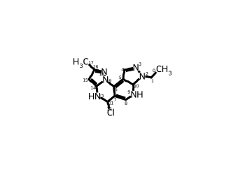 CCN1N=CC2=C3C(=CNC21)C(Cl)Nc1cc(C)nn13